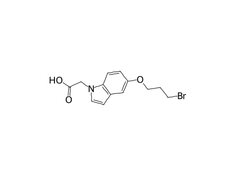 O=C(O)Cn1ccc2cc(OCCCBr)ccc21